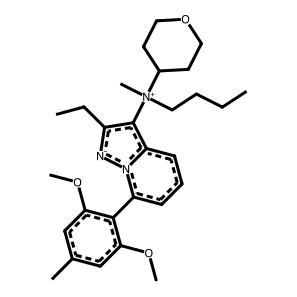 CCCC[N+](C)(c1c(CC)nn2c(-c3c(OC)cc(C)cc3OC)cccc12)C1CCOCC1